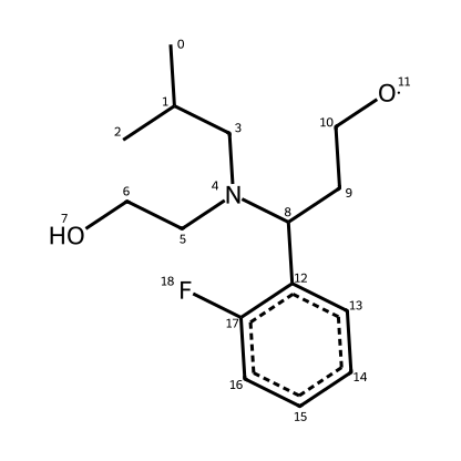 CC(C)CN(CCO)C(CC[O])c1ccccc1F